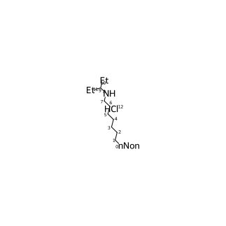 CCCCCCCCCCCCCCCCNC(CC)CC.Cl